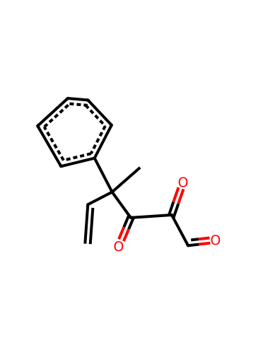 C=CC(C)(C(=O)C(=O)C=O)c1ccccc1